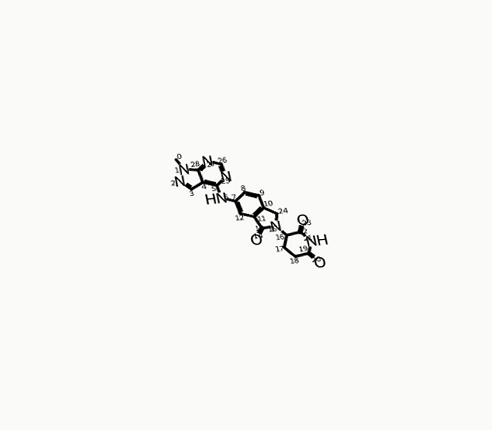 Cn1ncc2c(Nc3ccc4c(c3)C(=O)N(C3CCC(=O)NC3=O)C4)ncnc21